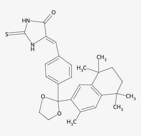 Cc1cc2c(cc1C1(c3ccc(/C=C4\NC(=S)NC4=O)cc3)OCCO1)C(C)(C)CCC2(C)C